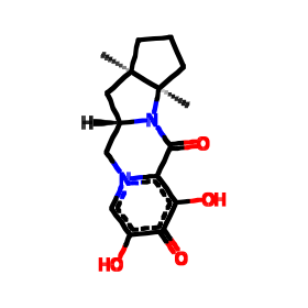 C[C@]12CCC[C@@]1(C)N1C(=O)c3c(O)c(=O)c(O)cn3C[C@@H]1C2